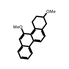 COc1cc2ccccc2c2ccc3c(c12)CCC(OC)C3